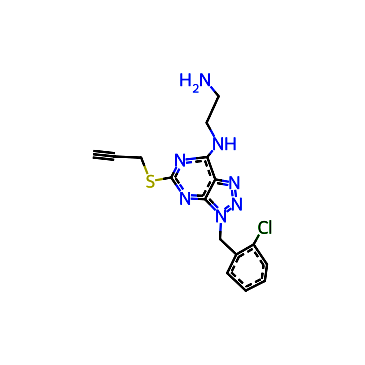 C#CCSc1nc(NCCN)c2nnn(Cc3ccccc3Cl)c2n1